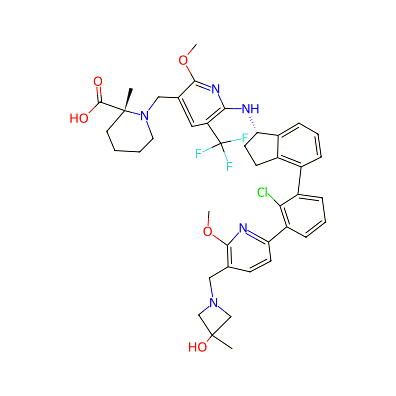 COc1nc(-c2cccc(-c3cccc4c3CC[C@@H]4Nc3nc(OC)c(CN4CCCC[C@]4(C)C(=O)O)cc3C(F)(F)F)c2Cl)ccc1CN1CC(C)(O)C1